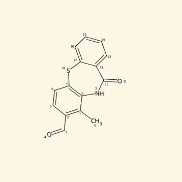 Cc1c(C=O)ccc2c1NC(=O)c1ccccc1S2